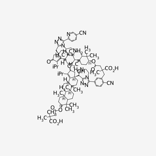 CC(C)C1=C2[C@H]3CCC4[C@@]5(C)CC[C@H](OC(=O)CC(C)(Cc6cc(-c7nnc(C(O)[C@@]89CC[C@]%10(C)[C@H](CCC%11[C@@]%12(C)CC[C@H](OC(=O)CC(C)(C)C(=O)O)C(C)(C)C%12CC[C@]%11%10C)C8=C(C(C)C)C(=O)C9)n7CCN)ccc6C#N)C(=O)O)C(C)(C)C5CC[C@@]4(C)[C@]3(C)CC[C@@]2(Cc2nnc(-c3ccc(C#N)cn3)n2CCN)CC1=O